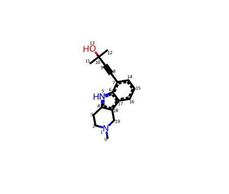 CN1CCc2[nH]c3c(C#CC(C)(C)O)cccc3c2C1